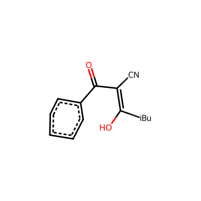 CCC(C)C(O)=C(C#N)C(=O)c1ccccc1